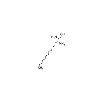 CCCCCCCCCCCCC(N)C(N)CO